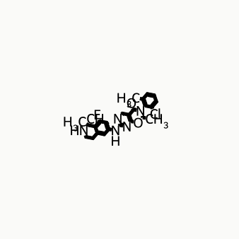 Cc1cccc(Cl)c1N1C(=O)c2cnc(Nc3cc(F)c4c(c3)CCNC4(C)C)nc2OC1C